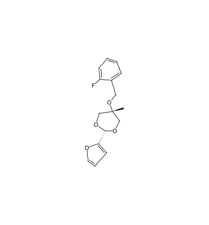 C[C@]1(OCc2ccccc2F)CO[C@@H](c2ccco2)OC1